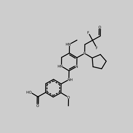 CNC1=C(N(CC(F)(F)C=O)C2CCCC2)N=C(Nc2ccc(C(=O)O)cc2OC)NC1